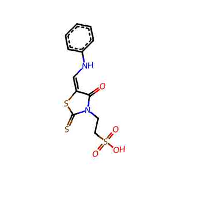 O=C1C(=CNc2ccccc2)SC(=S)N1CCS(=O)(=O)O